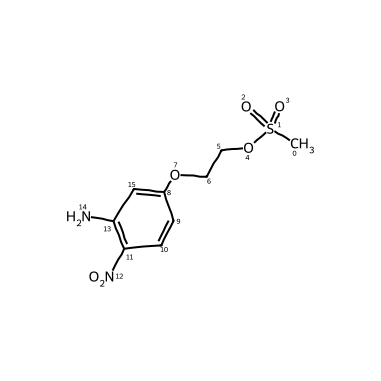 CS(=O)(=O)OCCOc1ccc([N+](=O)[O-])c(N)c1